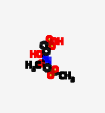 CCCS(=O)(=O)c1ccc(OC)c(/N=N/c2ccc3c(S(=O)(=O)O)cccc3c2O)c1